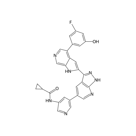 O=C(Nc1cncc(-c2cnc3[nH]nc(-c4cc5c(-c6cc(O)cc(F)c6)cncc5[nH]4)c3c2)c1)C1CC1